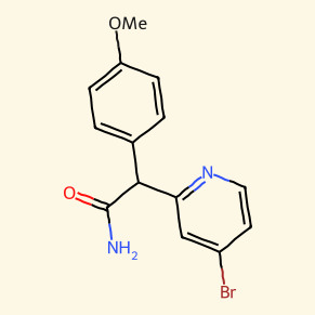 COc1ccc(C(C(N)=O)c2cc(Br)ccn2)cc1